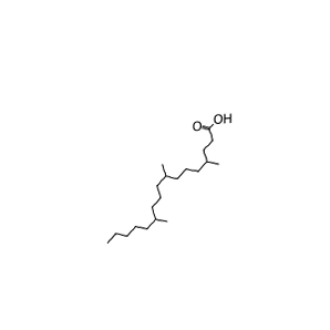 CCCCCC(C)CCCC(C)CCCC(C)CCC(=O)O